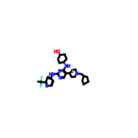 CC(F)(F)c1cc(Nc2ncc(C3CCN(CC4CCCC4)CC3)c(N[C@H]3CC[C@H](O)CC3)n2)ccn1